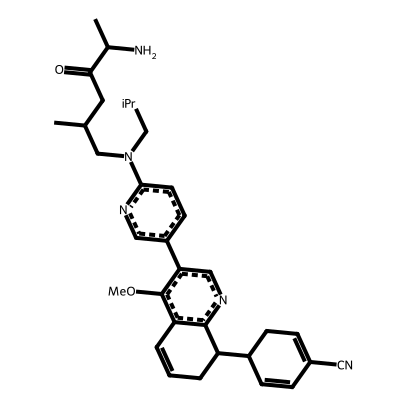 COc1c(-c2ccc(N(CC(C)C)CC(C)CC(=O)C(C)N)nc2)cnc2c1C=CCC2C1C=CC(C#N)=CC1